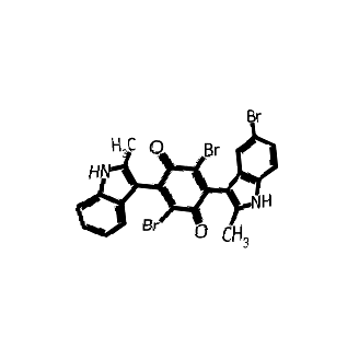 Cc1[nH]c2ccccc2c1C1=C(Br)C(=O)C(c2c(C)[nH]c3ccc(Br)cc23)=C(Br)C1=O